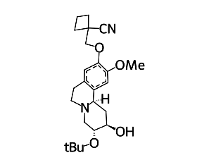 COc1cc2c(cc1OCC1(C#N)CCC1)CCN1C[C@@H](OC(C)(C)C)[C@H](O)C[C@H]21